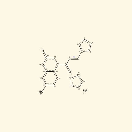 O=C(/C=C/[c-]1cccc1)c1cc(=O)oc2cc(O)ccc12.[Fe+2].c1cc[cH-]c1